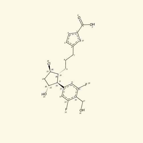 O=C(O)c1ccc(CCC[C@@H]2[C@@H](c3cc(F)c(CO)c(F)c3)[C@H](O)C[C@H]2Cl)s1